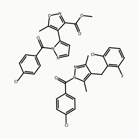 COC(=O)c1noc(C)c1-c1ccnn1C(=O)c1ccc(Cl)cc1.Cc1nn(C(=O)c2ccc(Cl)cc2)c(C)c1Cc1c(F)cccc1Cl